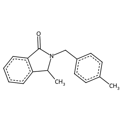 Cc1ccc(CN2C(=O)c3ccccc3C2C)cc1